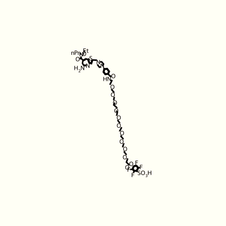 CCCN(OCC)C(=O)C1=Cc2sc(CN3CCN(c4ccc(C(=O)NCCOCCOCCOCCOCCOCCOCCOCCOCCOCCOCCC(=O)Oc5c(F)c(F)c(S(=O)(=O)O)c(F)c5F)cc4)CC3)cc2N=C(N)C1